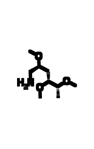 CO[C@H](CN)C[C@@H](OC)[C@@H](C)OC